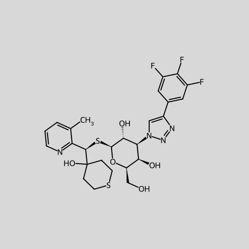 Cc1cccnc1[C@@H](S[C@@H]1O[C@H](CO)[C@H](O)[C@H](n2cc(-c3cc(F)c(F)c(F)c3)nn2)[C@H]1O)C1(O)CCSCC1